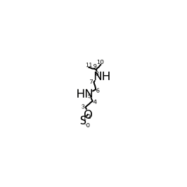 CSOCCNCCNC(C)C